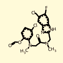 CN(Cc1nc2cc(Cl)c(F)cc2[nH]1)C(=O)CN(C)c1cc(Cl)ccc1OC=O